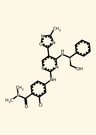 Cc1noc(-c2cnc(Nc3ccc(C(=O)N(C)C)c(Cl)c3)nc2N[C@H](CO)c2ccccc2)n1